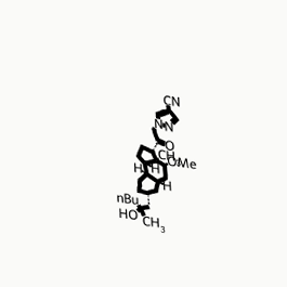 CCCCC(C)(O)C[C@@H]1CC[C@@H]2[C@@H](C1)C[C@H](OC)[C@]1(C)[C@@H](C(=O)Cn3cc(C#N)cn3)CC[C@@H]21